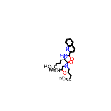 CCCCCCCCCCCCCN(CC(=O)NC)C(=O)[C@H](CCCC(=O)O)NC(=O)c1ccc2ccccc2n1